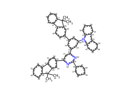 CC1(C)c2ccccc2-c2ccc(-c3cc(-c4cc(-c5ccc6c(c5)C(C)(C)c5ccccc5-6)nc(-c5ccccc5)n4)cc(-n4c5ccccc5c5ccccc54)c3)cc21